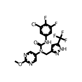 COc1ncc(N(Cc2cc(C(F)(F)F)[nH]n2)C(=O)Nc2cc(F)c(F)c(Cl)c2)cn1